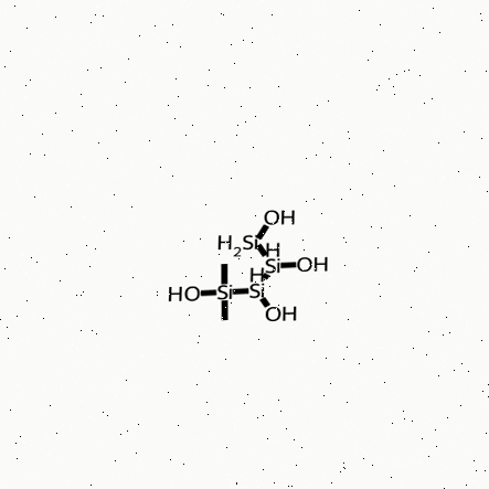 C[Si](C)(O)[SiH](O)[SiH](O)[SiH2]O